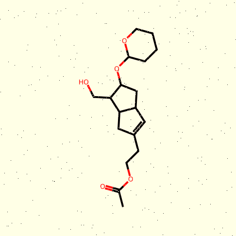 CC(=O)OCCC1=CC2CC(OC3CCCCO3)C(CO)C2C1